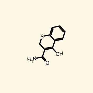 NC(=O)C1=C(O)c2ccccc2SC1